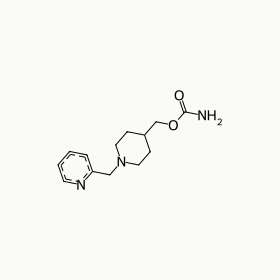 NC(=O)OCC1CCN(Cc2ccccn2)CC1